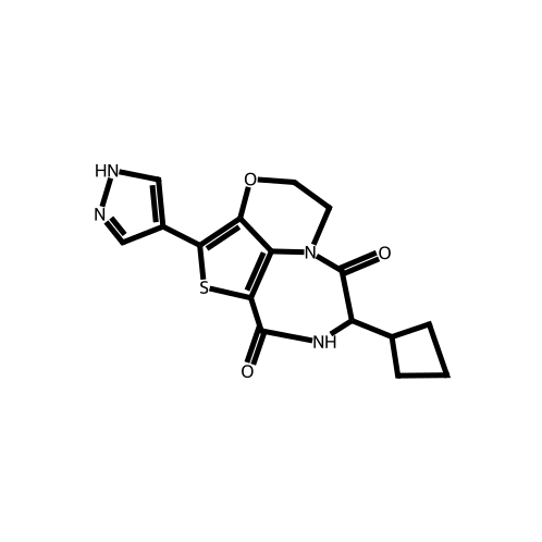 O=C1NC(C2CCC2)C(=O)N2CCOc3c(-c4cn[nH]c4)sc1c32